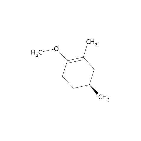 COC1=C(C)C[C@@H](C)CC1